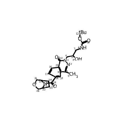 Cc1nn(CC(O)CNC(=O)OC(C)(C)C)c(=O)c2ccc(C(=O)N3C4CCC3COC4)cc12